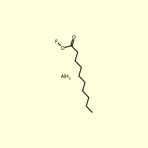 CCCCCCCCCC(=O)OF.[AlH3]